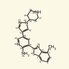 Cc1cccc2sc(-c3cc(-c4cnn(C5CCNCC5)c4)cnc3N)nc12